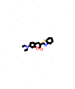 C=CN(C=C)c1ccc2cc(-c3nc4ccccc4s3)c(=O)oc2c1